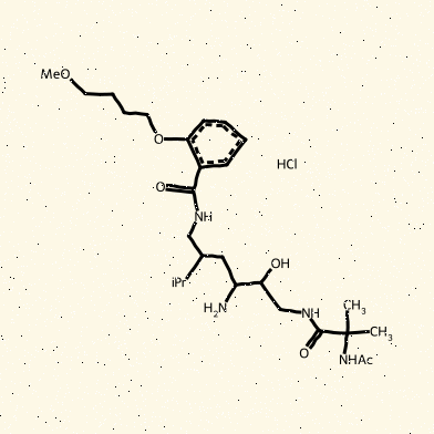 COCCCCOc1ccccc1C(=O)NCC(CC(N)C(O)CNC(=O)C(C)(C)NC(C)=O)C(C)C.Cl